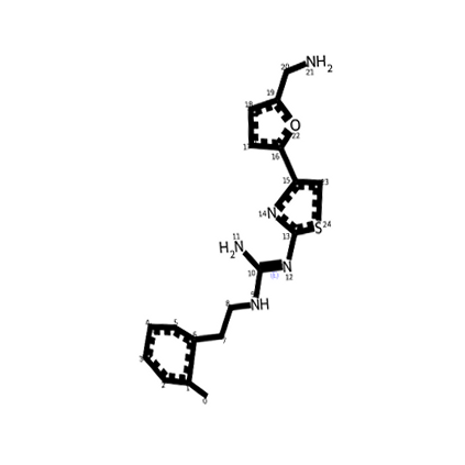 Cc1ccccc1CCN/C(N)=N/c1nc(-c2ccc(CN)o2)cs1